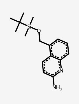 CC(C)(C)[Si](C)(C)OCc1cccc2nc(N)ccc12